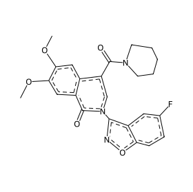 COc1cc2c(C(=O)N3CCCCC3)cn(-c3noc4ccc(F)cc34)c(=O)c2cc1OC